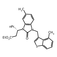 CCC[C@@H](CC(=O)OCC)n1c(=O)n(Cc2csc3cccc(C)c23)c2ccc(C)cc21